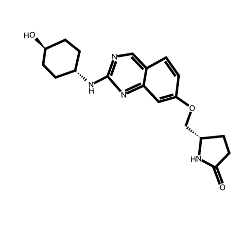 O=C1CC[C@@H](COc2ccc3cnc(N[C@H]4CC[C@H](O)CC4)nc3c2)N1